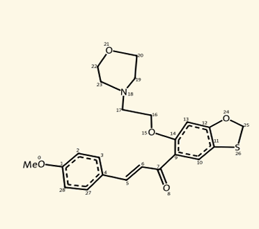 COc1ccc(/C=C/C(=O)c2cc3c(cc2OCCN2CCOCC2)OCS3)cc1